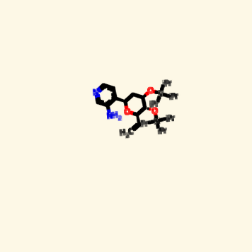 C=C[C@H]1O[C@@H](c2ccncc2N)C[C@@H](O[Si](C(C)C)(C(C)C)C(C)C)[C@@H]1O[Si](C(C)C)(C(C)C)C(C)C